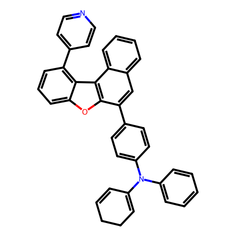 C1=CC(N(c2ccccc2)c2ccc(-c3cc4ccccc4c4c3oc3cccc(-c5ccncc5)c34)cc2)=CCC1